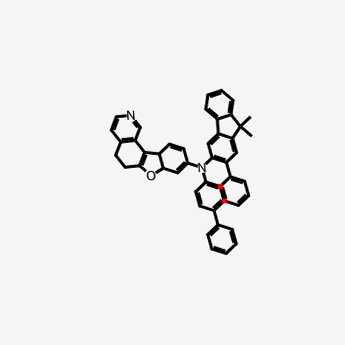 CC1(C)c2ccccc2-c2cc(N(C3=CC4OC5=C(c6cnccc6CC5)C4C=C3)c3ccc(-c4ccccc4)cc3)c(-c3ccccc3)cc21